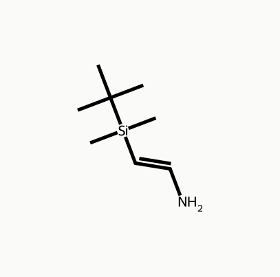 CC(C)(C)[Si](C)(C)C=CN